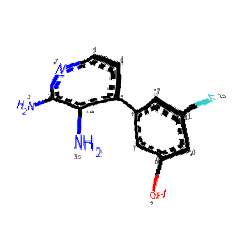 Nc1nccc(-c2cc(O)cc(F)c2)c1N